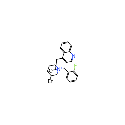 CCC1C[N+]2(Cc3ccccc3F)CCC1CC2Cc1ccnc2ccccc12